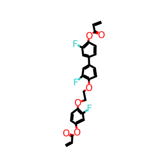 C=CC(=O)Oc1ccc(OCCOc2ccc(-c3ccc(OC(=O)C=C)c(F)c3)cc2F)c(F)c1